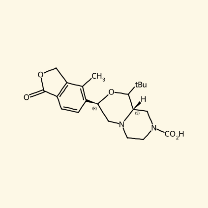 Cc1c([C@@H]2CN3CCN(C(=O)O)C[C@H]3C(C(C)(C)C)O2)ccc2c1COC2=O